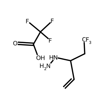 C=CC(CC(F)(F)F)NN.O=C(O)C(F)(F)F